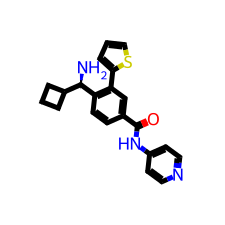 N[C@@H](c1ccc(C(=O)Nc2ccncc2)cc1-c1cccs1)C1CCC1